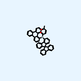 Cc1ccc(N(c2cccc3c2-c2ccccc2C32c3ccccc3-c3ccccc32)c2cccc3c4ccccc4c4ccccc4c23)cc1